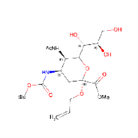 C=CCO[C@]1(C(=O)OC)C[C@@H](NC(=O)OC(C)(C)C)[C@@H](NC(C)=O)C([C@H](O)[C@H](O)CO)O1